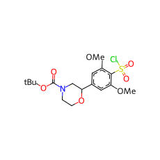 COc1cc(C2CN(C(=O)OC(C)(C)C)CCO2)cc(OC)c1S(=O)(=O)Cl